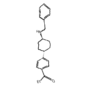 CCC(=O)c1ccc([C@H]2CC[C@H](NCc3ccccc3)CC2)cc1